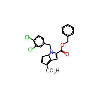 O=C(O)C1=C2C=C(C(=O)OCc3ccccc3)N(Cc3ccc(Cl)c(Cl)c3)C2C=C1